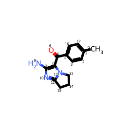 Cc1ccc(C(=O)c2c(N)nc3n2CCC3)cc1